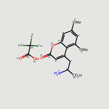 COc1cc(OC)c2c(CC(N)C(=O)O)cc(=O)oc2c1.O=C(O)C(F)(F)F